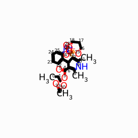 CCC1(OC(=O)C2=C(C)NC(C)=C(P3(=O)OCCCO3)C2c2ccccc2[N+](=O)[O-])OC(C)O1